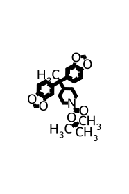 CC(C)(C)OC(=O)N1CCC(C(C)(c2ccc3c(c2)OCO3)c2ccc3c(c2)OCO3)CC1